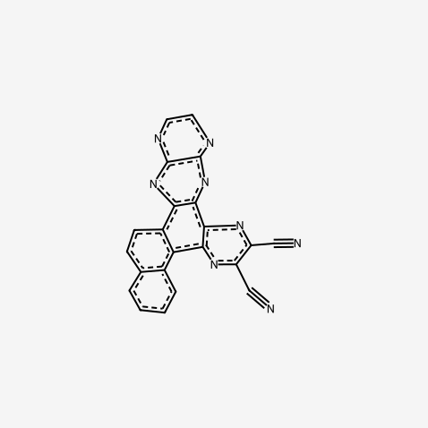 N#Cc1nc2c3nc4nccnc4nc3c3ccc4ccccc4c3c2nc1C#N